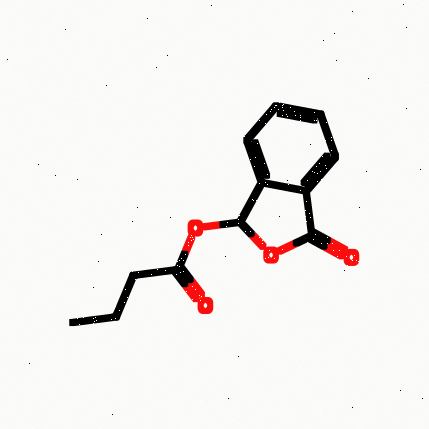 CCCC(=O)OC1OC(=O)c2ccccc21